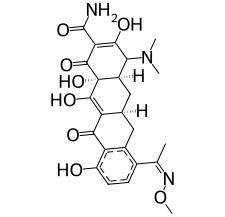 CO/N=C(/C)c1ccc(O)c2c1C[C@@H]1C[C@@H]3C(N(C)C)C(O)=C(C(N)=O)C(=O)[C@]3(O)C(O)=C1C2=O